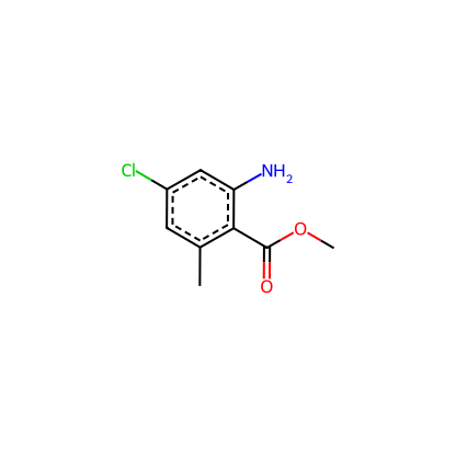 COC(=O)c1c(C)cc(Cl)cc1N